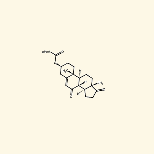 CCCCCC(=O)O[C@H]1CC[C@@]2(C)C(=CC(=O)[C@@H]3[C@@H]2CC[C@]2(C)C(=O)CC[C@@H]32)C1